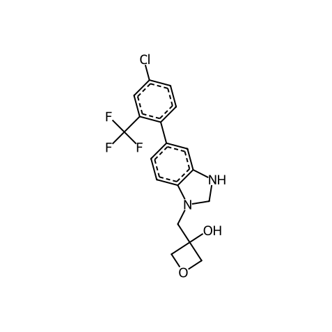 OC1(CN2CNc3cc(-c4ccc(Cl)cc4C(F)(F)F)ccc32)COC1